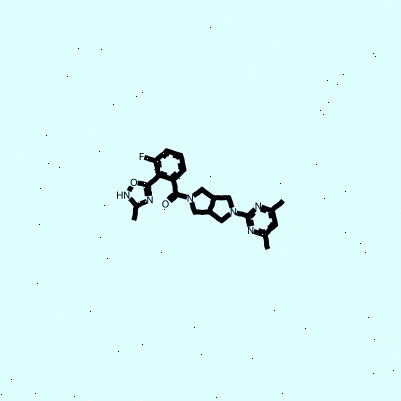 Cc1cc(C)nc(N2CC3CN(C(=O)c4cccc(F)c4C4=NC(C)NO4)CC3C2)n1